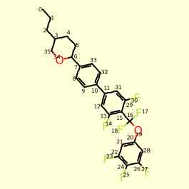 CCCC1CCC(c2ccc(-c3cc(F)c(C(F)(F)Oc4cc(F)c(F)c(F)c4)c(F)c3)cc2)OC1